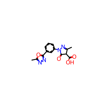 CC1=NN(c2cccc(-c3nnc(C)o3)c2)C(=O)C1C(=O)O